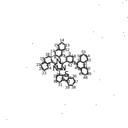 c1cc(-c2nc(-c3c(-c4ccc5ccccc5c4)ccc4ccccc34)nc(-c3cccc4c3sc3ccccc34)n2)cc(-c2cc3ccccc3c3ccccc23)c1